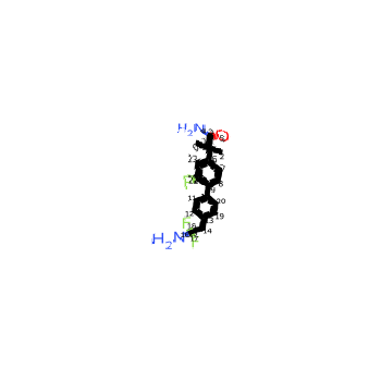 CC(C)(C(N)=O)c1ccc(-c2ccc(CC(N)(F)F)cc2)c(F)c1